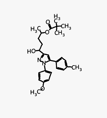 COc1ccc(-n2nc(C(O)CCC(C)OC(=O)C(C)(C)C)cc2-c2ccc(C)cc2)cc1